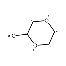 [O]C1COCCO1